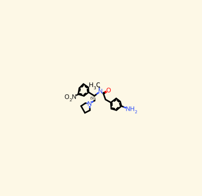 CN(C(=O)Cc1ccc(N)cc1)[C@H](CN1CCCC1)c1cccc([N+](=O)[O-])c1